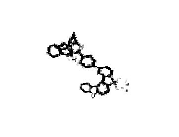 C=C1C(c2ccc(-c3ccc4c(c3)-c3c(ccc5c3C3C=CC=CC3O5)C4(C)C)cc2)=NC2(c3ccccc3)CC2C1C1=CC=CCC1